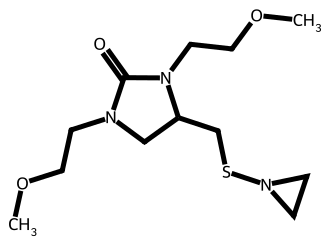 COCCN1CC(CSN2CC2)N(CCOC)C1=O